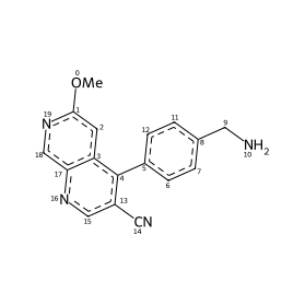 COc1cc2c(-c3ccc(CN)cc3)c(C#N)cnc2cn1